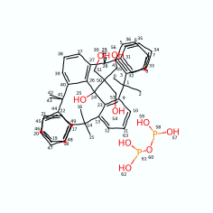 CC(C)(c1ccccc1)c1cccc(C(C)(C)c2ccccc2)c1C(O)(c1c(C(C)(C)c2ccccc2)cccc1C(C)(C)c1ccccc1)C(CO)(CO)CO.OP(O)OP(O)O